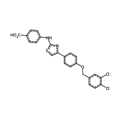 O=C(O)c1ccc(Nc2nc(-c3ccc(OCc4ccc(Cl)c(Cl)c4)cc3)cs2)cc1